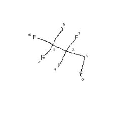 FCC(F)(I)C(F)(F)I